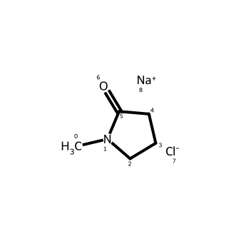 CN1CCCC1=O.[Cl-].[Na+]